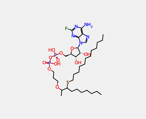 CCCCCCCCCCCCSC(CCCCCCC)C(C)OCCCOP(=O)(O)OP(=O)(O)OC[C@H]1O[C@@H](n2cnc3c(N)nc(F)nc32)[C@H](O)[C@@H]1O